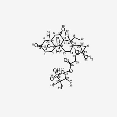 C[C@]12CCC(=O)C[C@H]1CC(=O)[C@@H]1[C@@H]2CC[C@@]2(C)[C@H]1CC[C@@]21C[C@]1(C)CCC(=O)OCC(F)C(F)(F)S(=O)(=O)O